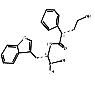 O=C(N[C@@H](Cc1coc2ccccc12)B(O)O)[C@@H](CCO)c1ccccc1